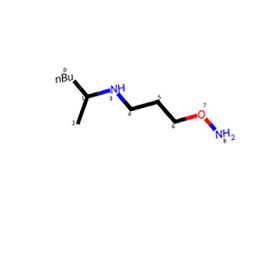 CCCCC(C)NCCCON